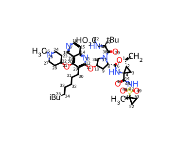 C=C[C@@H]1C[C@]1(NC(=O)[C@@H]1C[C@@H](Oc2nc3ccncc3c(OC3CCN(C)CC3)c2CCCCC[C@H](C)CC)CN1C(=O)[C@@H](NC(=O)O)C(C)(C)C)C(=O)NS(=O)(=O)C1(C)CC1